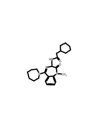 CN1C(=O)C(NC(=O)CC2CCCCC2)N=C(N2CCCCCC2)c2ccccc21